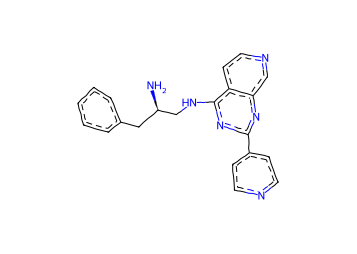 N[C@@H](CNc1nc(-c2ccncc2)nc2cnccc12)Cc1ccccc1